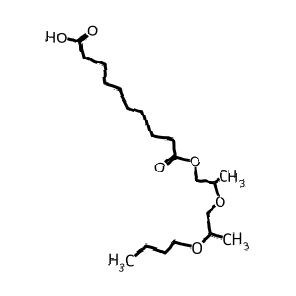 CCCCOC(C)COC(C)COC(=O)CCCCCCCCC(=O)O